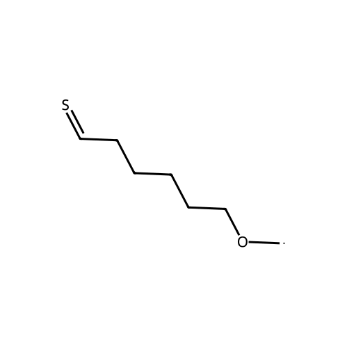 [CH2]OCCCCCC=S